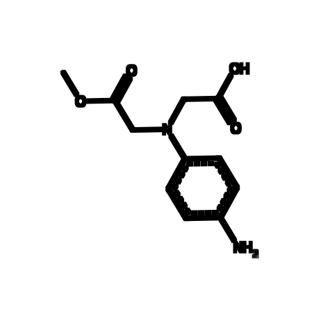 COC(=O)CN(CC(=O)O)c1ccc(N)cc1